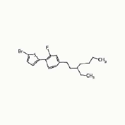 CCCCC(CC)CCc1ccc(-c2ccc(Br)s2)c(F)c1